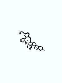 C=C1C2C(CCc3ccc(C(C)C)cc3-c3cccc[n+]31)c1ccc3c(oc4cc(C)ccc43)c1-c1cc(C)cc[n+]12